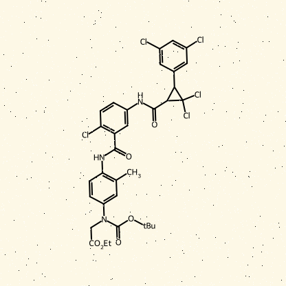 CCOC(=O)CN(C(=O)OC(C)(C)C)c1ccc(NC(=O)c2cc(NC(=O)C3C(c4cc(Cl)cc(Cl)c4)C3(Cl)Cl)ccc2Cl)c(C)c1